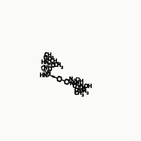 COC(=O)N[C@H](C(=O)N1CCC[C@H]1c1nc(C#Cc2ccc(-c3ccc4[nH]c([C@@H]5CCCN5C(=O)[C@@H](NC(=O)O)[C@@H](C)OC)nc4c3)cc2)c[nH]1)C(C)OC